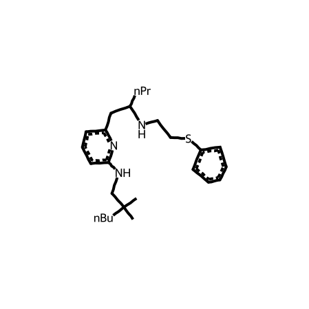 CCCCC(C)(C)CNc1cccc(CC(CCC)NCCSc2ccccc2)n1